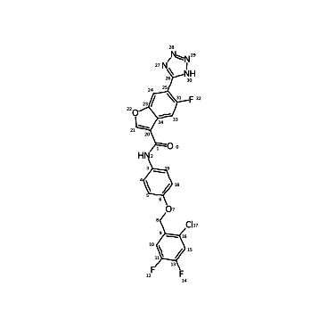 O=C(Nc1ccc(OCc2cc(F)c(F)cc2Cl)cc1)c1coc2cc(-c3nnn[nH]3)c(F)cc12